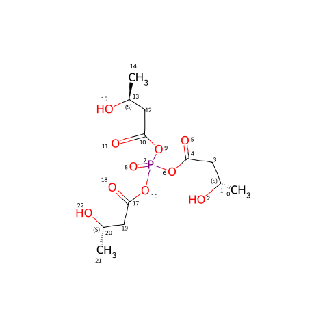 C[C@H](O)CC(=O)OP(=O)(OC(=O)C[C@H](C)O)OC(=O)C[C@H](C)O